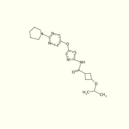 CC(C)OC1CC(C(=O)Nc2ncc(Oc3cnc(N4CCCCC4)nc3)s2)C1